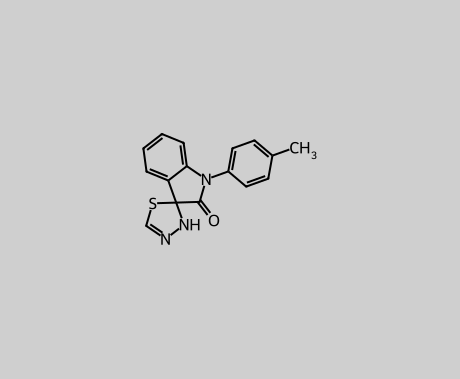 Cc1ccc(N2C(=O)C3(NN=CS3)c3ccccc32)cc1